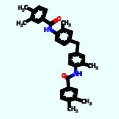 Cc1ccc(C(=O)Nc2ccc(Cc3ccc(NC(=O)c4ccc(C)c(C)c4)c(C)c3)cc2C)cc1C